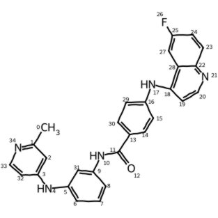 Cc1cc(Nc2cccc(NC(=O)c3ccc(Nc4ccnc5ccc(F)cc45)cc3)c2)ccn1